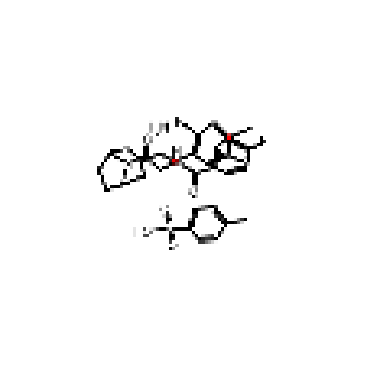 Cc1ccc(S(=O)(=O)O)cc1.N[C@H](Cc1cc(F)c(F)cc1F)C1CC2CCC(C1)N2C(=O)CNC(=O)c1ccc(F)cc1